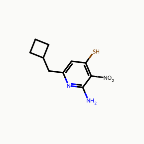 Nc1nc(CC2CCC2)cc(S)c1[N+](=O)[O-]